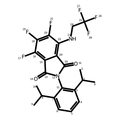 CC(C)c1cccc(C(C)C)c1N1C(=O)c2c(F)c(F)c(F)c(NCC(F)(F)F)c2C1=O